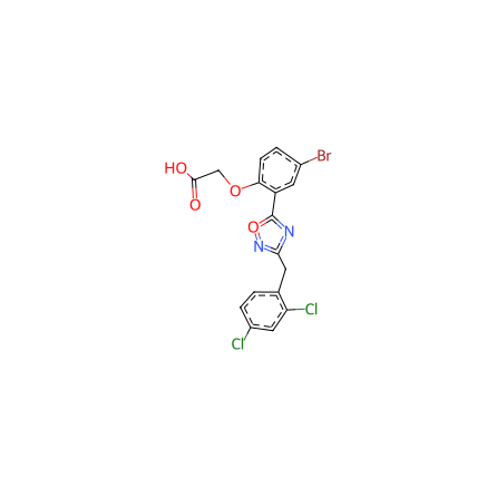 O=C(O)COc1ccc(Br)cc1-c1nc(Cc2ccc(Cl)cc2Cl)no1